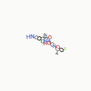 CNC1Cc2cc(Cl)c(-c3snc4c(=O)n(CC5(O)CCN(C(=O)CC(c6ccc(F)cc6)C6CC6)CC5)cnc34)cc2C1